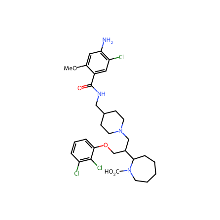 COc1cc(N)c(Cl)cc1C(=O)NCC1CCN(CC(COc2cccc(Cl)c2Cl)C2CCCCCN2C(=O)O)CC1